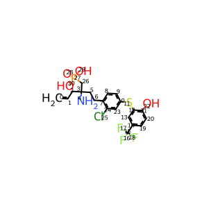 C=CCC(N)(CCc1ccc(Sc2cc(C(F)(F)F)ccc2O)cc1Cl)CP(=O)(O)O